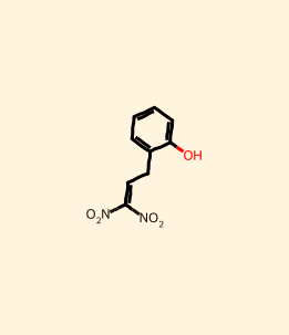 O=[N+]([O-])C(=CCc1ccccc1O)[N+](=O)[O-]